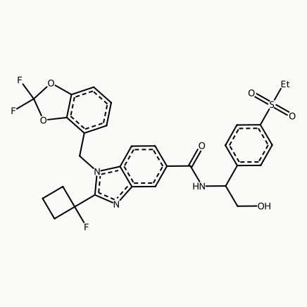 CCS(=O)(=O)c1ccc(C(CO)NC(=O)c2ccc3c(c2)nc(C2(F)CCC2)n3Cc2cccc3c2OC(F)(F)O3)cc1